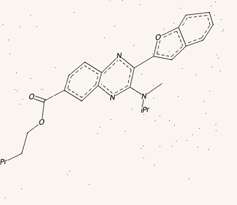 CC(C)CCOC(=O)c1ccc2nc(-c3cc4ccccc4o3)c(N(C)C(C)C)nc2c1